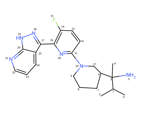 CC(C)C(C)(N)C1CCCN(c2ccc(F)c(-c3n[nH]c4ncccc34)n2)C1